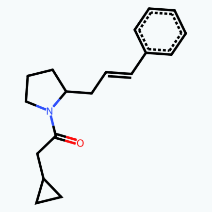 O=C(CC1CC1)N1CCCC1CC=Cc1ccccc1